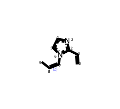 C=Cc1nccn1/C=C\C